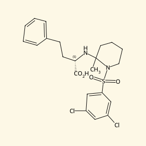 CC1(N[C@@H](CCc2ccccc2)C(=O)O)CCCCN1S(=O)(=O)c1cc(Cl)cc(Cl)c1